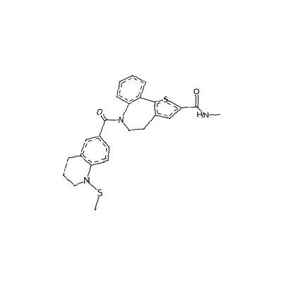 CNC(=O)c1cc2c(s1)-c1ccccc1N(C(=O)c1ccc3c(c1)CCCN3SC)CC2